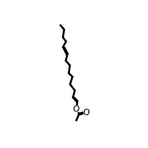 CCCCC=CCCCCCCC=COC(C)=O